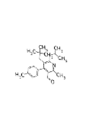 Cc1ccc(-c2c(C=O)c(C)nc(CC(C)C)c2CC(C)(C)C)cc1